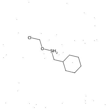 ClCO[SiH2]CC1CCCCC1